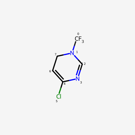 FC(F)(F)N1[C]=NC(Cl)=CC1